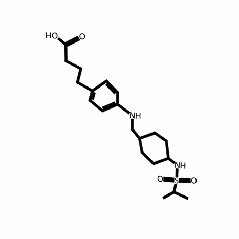 CC(C)S(=O)(=O)NC1CCC(CNc2ccc(CCCC(=O)O)cc2)CC1